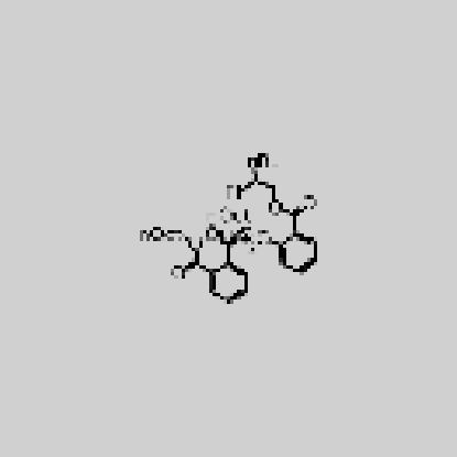 CCCCC(CC)COC(=O)c1ccccc1C(=O)O.CCCCCCCCOC(=O)c1ccccc1C(=O)OCCCCCCCC